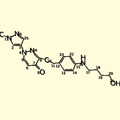 Cn1cc(-n2ccc(=O)c(CCc3ccc(NCCCCO)cc3)n2)cn1